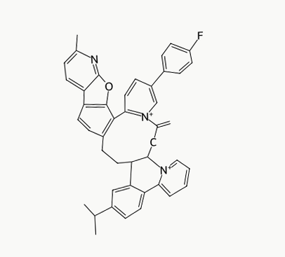 C=C1CC2C(CCc3ccc4c(oc5nc(C)ccc54)c3-c3ccc(-c4ccc(F)cc4)c[n+]31)c1cc(C(C)C)ccc1-c1cccc[n+]12